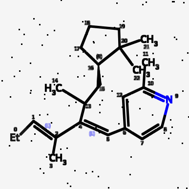 CC/C=C(C)/C(=C/c1ccnc(C)c1)C(C)C[C@H]1CCCC1(C)C